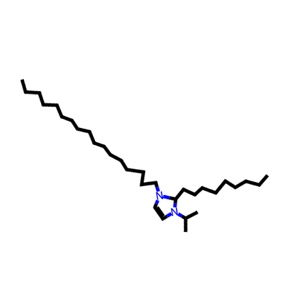 CCCCCCCCCCCCCCCCCN1C=CN(C(C)C)C1CCCCCCCCC